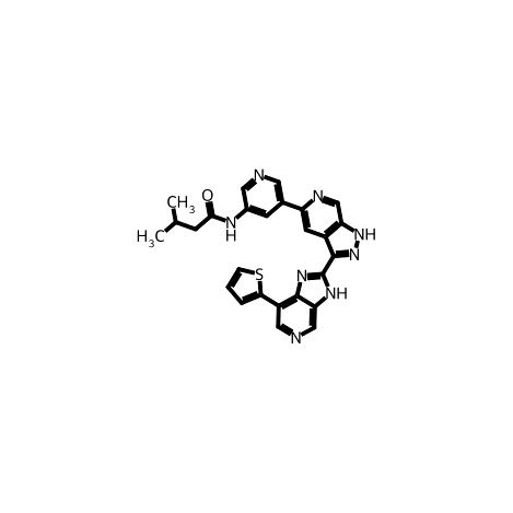 CC(C)CC(=O)Nc1cncc(-c2cc3c(-c4nc5c(-c6cccs6)cncc5[nH]4)n[nH]c3cn2)c1